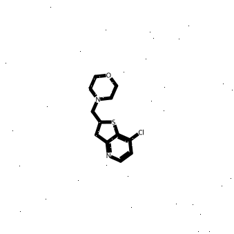 Clc1ccnc2c1SC(CN1CCOCC1)C2